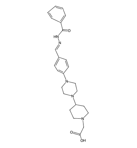 O=C(O)CN1CCC(N2CCN(c3ccc(C=NNC(=O)c4ccccc4)cc3)CC2)CC1